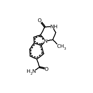 CC1CNC(=O)c2cc3ccc(C(N)=O)cc3n21